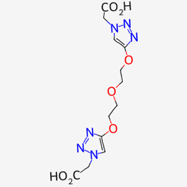 O=C(O)Cn1cc(OCCOCCOc2cn(CC(=O)O)nn2)nn1